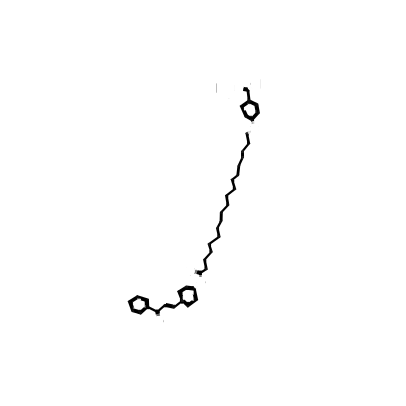 C=C(C)c1ccc(OCCCCCCCCCCCCCCCCCCC(=O)Oc2ccc(C=CC(=O)c3ccccc3)cc2)cc1